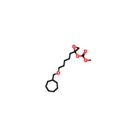 COC(=O)OC1(CCCCCOCC2CCCCCC2)CO1